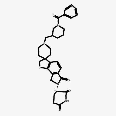 O=C1CC[C@H](N2Cc3c(ccc4c3OCC43CCN(CC4CCCN(C(=O)c5ccccc5)C4)CC3)C2=O)C(=O)N1